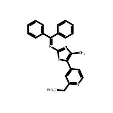 CCOC(=O)Cc1cc(-c2sc(N=C(c3ccccc3)c3ccccc3)nc2C)ccn1